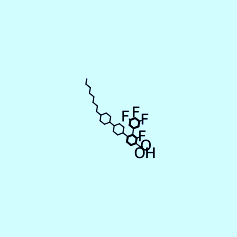 CCCCCCCCC1CCC(C2CCC(c3ccc(C(=O)O)c(F)c3-c3cc(F)c(F)c(F)c3)CC2)CC1